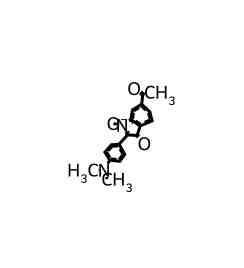 CC(=O)c1ccc2c(c1)[N+]([O-])=C(c1ccc(N(C)C)cc1)C2=O